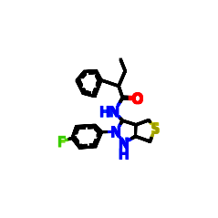 CCC(C(=O)NC1C2CSCC2NN1c1ccc(F)cc1)c1ccccc1